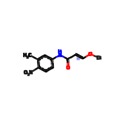 CCO/C=C/C(=O)Nc1ccc([N+](=O)[O-])c(C)c1